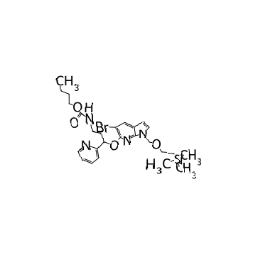 CCCCOC(=O)NCCC(Oc1nc2c(ccn2COCC[Si](C)(C)C)cc1Br)c1ccccn1